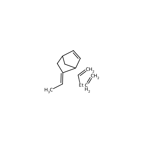 C=C.C=CCC.CC=C1CC2C=CC1C2